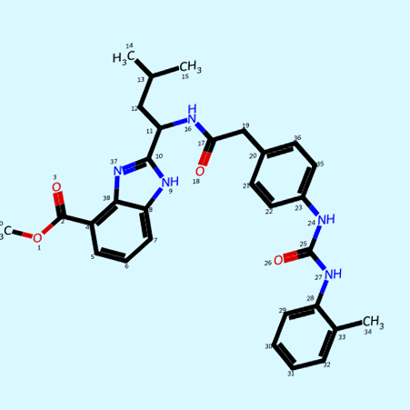 COC(=O)c1cccc2[nH]c(C(CC(C)C)NC(=O)Cc3ccc(NC(=O)Nc4ccccc4C)cc3)nc12